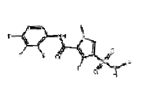 CC(C)NS(=O)(=O)c1cn(C)c(C(=O)Nc2ccc(F)c(F)c2F)c1F